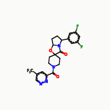 O=C(c1cc(C(F)(F)F)cnn1)N1CCC2(CC1)OC1CCC(c3cc(F)cc(F)c3)N1C2=O